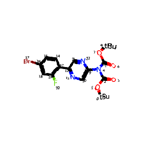 CC(C)(C)OC(=O)N(C(=O)OC(C)(C)C)c1cnc(-c2ccc(Br)cc2F)cn1